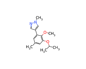 COc1c(OC(C)C)cc(C)cc1-c1cnn(C)c1